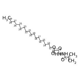 C=C(C)C(=O)NNC(=O)C(=O)OCCCCCCCCCCCCCCCCCC